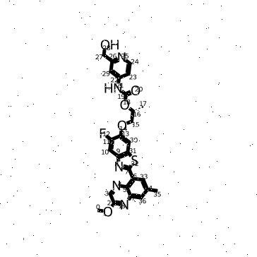 COc1cnc2c(-c3nc4cc(F)c(OC[C@@H](C)OC(=O)Nc5ccnc(CO)c5)cc4s3)cc(C)cc2n1